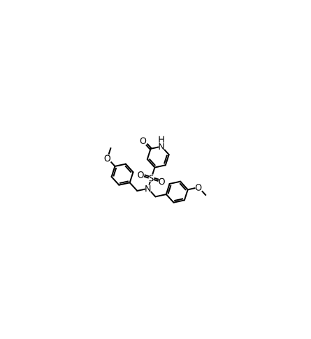 COc1ccc(CN(Cc2ccc(OC)cc2)S(=O)(=O)c2cc[nH]c(=O)c2)cc1